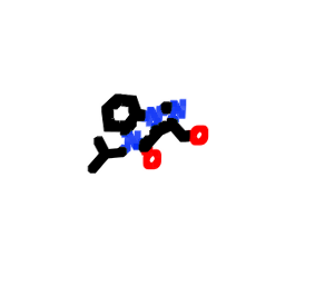 CC(C)Cn1c(=O)c2c(C=O)ncn2c2ccccc21